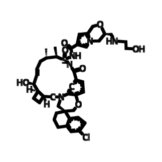 C[C@@H]1[C@@H](C)C/C=C/[C@H](O)[C@@H]2CC[C@H]2CN2C[C@@]3(CCCc4cc(Cl)ccc43)COc3ccc(cc32)C(=O)N=S1(=O)NC(=O)c1cc2n(c1)C[C@H](CNCCO)OC2